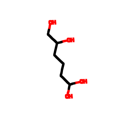 OCC(O)CCCC(O)O